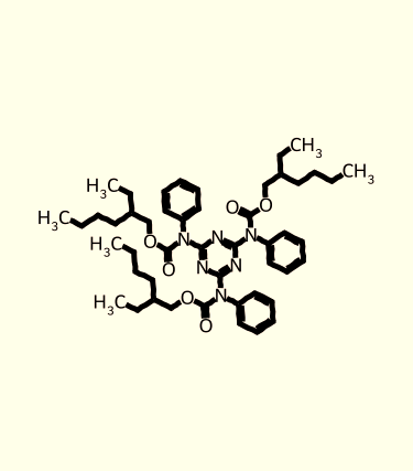 CCCCC(CC)COC(=O)N(c1ccccc1)c1nc(N(C(=O)OCC(CC)CCCC)c2ccccc2)nc(N(C(=O)OCC(CC)CCCC)c2ccccc2)n1